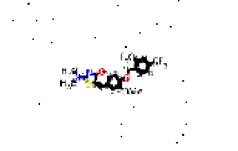 COc1cc(C=C2SC(N(C)C)=NC2=O)ccc1OCc1ccc(C(F)(F)F)cc1C(F)(F)F